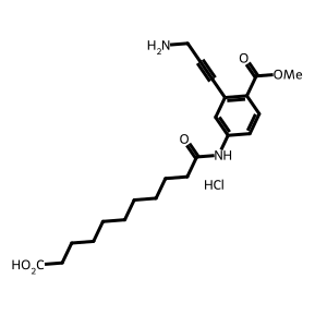 COC(=O)c1ccc(NC(=O)CCCCCCCCCC(=O)O)cc1C#CCN.Cl